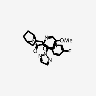 COc1cnc(C(=O)N2C3CCC2C(COc2ccc(F)cn2)C3)c(-n2nccn2)c1